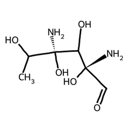 CC(O)[C@](N)(O)C(O)[C@@](N)(O)C=O